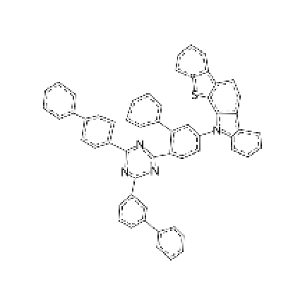 c1ccc(-c2ccc(-c3nc(-c4cccc(-c5ccccc5)c4)nc(-c4ccc(-n5c6ccccc6c6ccc7c8ccccc8sc7c65)cc4-c4ccccc4)n3)cc2)cc1